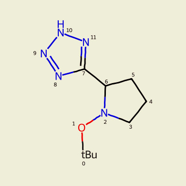 CC(C)(C)ON1CCCC1c1nn[nH]n1